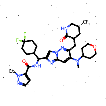 CCn1nccc1C(=O)NC(c1cn2nc(CC3C[C@@H](C(F)(F)F)CNC3=O)c(N(C)C3CCOCC3)cc2n1)C1CCC(F)(F)CC1